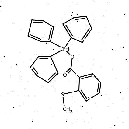 CSc1ccccc1C(=O)O[PH](c1ccccc1)(c1ccccc1)c1ccccc1